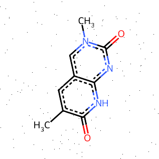 Cc1cc2cn(C)c(=O)nc2[nH]c1=O